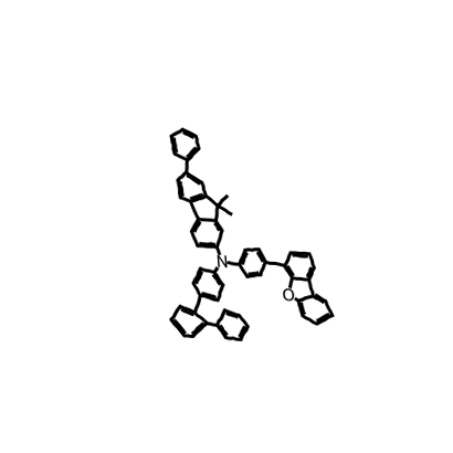 CC1(C)c2cc(-c3ccccc3)ccc2-c2ccc(N(c3ccc(-c4ccccc4-c4ccccc4)cc3)c3ccc(-c4cccc5c4oc4ccccc45)cc3)cc21